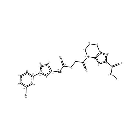 COC(=O)c1cc2n(n1)CCCN2C(=O)CCC(=O)Nc1cc(-c2cccc(Cl)c2)no1